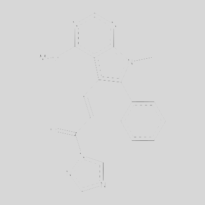 COc1ncnc2c1c(/C=C/C(=O)n1cncn1)c(-c1ccccc1)n2C